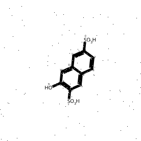 O=S(=O)(O)c1ccc2cc(S(=O)(=O)O)c(O)cc2c1